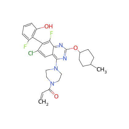 C=CC(=O)N1CCN(c2nc(OC3CCC(C)CC3)nc3c(F)c(-c4c(O)cccc4F)c(Cl)cc23)CC1